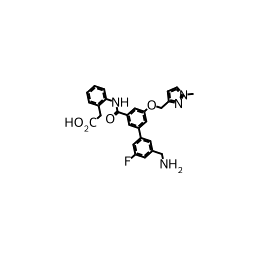 Cn1ccc(COc2cc(C(=O)Nc3ccccc3CC(=O)O)cc(-c3cc(F)cc(CN)c3)c2)n1